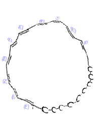 [C]1=C/C=C/C=C\C=C\C=C\C=C\C=C\C=C/C=C/C=C/CCCCCCCCCC/1